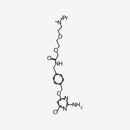 CC(C)N(C)CCOCCOCC(=O)NCc1ccc(COc2cc(Cl)nc(N)n2)cc1